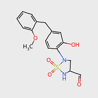 COc1ccccc1Cc1ccc(N2CC(C=O)NS2(=O)=O)c(O)c1